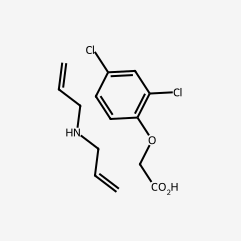 C=CCNCC=C.O=C(O)COc1ccc(Cl)cc1Cl